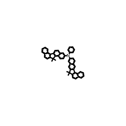 CC1(C)c2cc3cc(N(c4ccccc4)c4ccc5c6c(ccc5c4)-c4c(ccc5ccccc45)C6(C)C)ccc3cc2-c2c1ccc1ccccc21